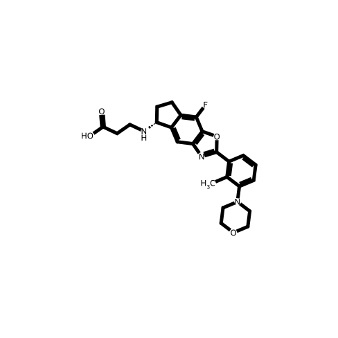 Cc1c(-c2nc3cc4c(c(F)c3o2)CC[C@H]4NCCC(=O)O)cccc1N1CCOCC1